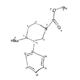 CCCCN1CCN(C(=O)OC(C)(C)C)CC1c1ccccc1